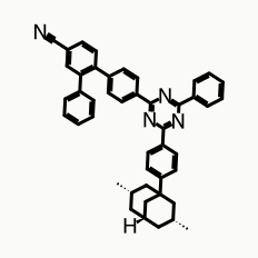 C[C@@H]1C[C@@H]2C[C@H](C)CC(c3ccc(-c4nc(-c5ccccc5)nc(-c5ccc(-c6ccc(C#N)cc6-c6ccccc6)cc5)n4)cc3)(C1)C2